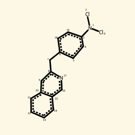 ClN(Cl)c1ccc(Cc2cc3ccccc3cn2)cc1